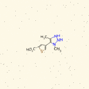 CC1=C(c2csc(C(=O)O)c2)N(C)NN1